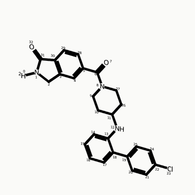 [2H]N1Cc2cc(C(=O)N3CCC(Nc4ccccc4-c4ccc(Cl)cc4)CC3)ccc2C1=O